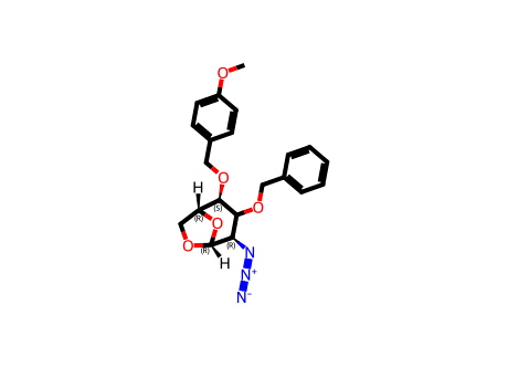 COc1ccc(CO[C@H]2C(OCc3ccccc3)[C@@H](N=[N+]=[N-])[C@@H]3OC[C@H]2O3)cc1